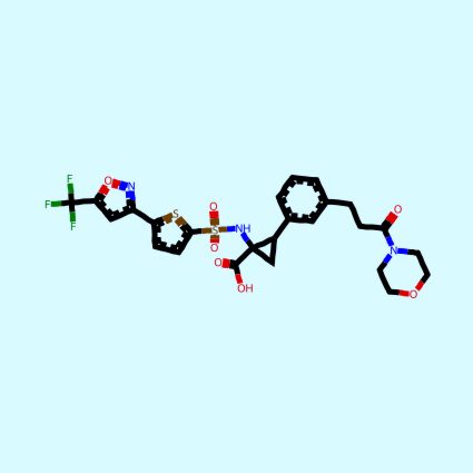 O=C(CCc1cccc(C2CC2(NS(=O)(=O)c2ccc(-c3cc(C(F)(F)F)on3)s2)C(=O)O)c1)N1CCOCC1